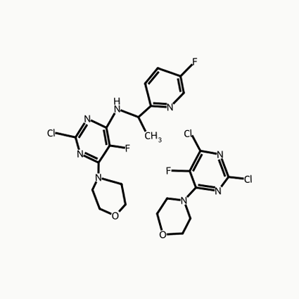 CC(Nc1nc(Cl)nc(N2CCOCC2)c1F)c1ccc(F)cn1.Fc1c(Cl)nc(Cl)nc1N1CCOCC1